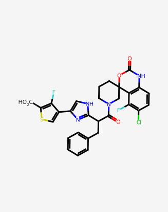 O=C1Nc2ccc(Cl)c(F)c2C2(CCCN(C(=O)C(Cc3ccccc3)c3nc(-c4csc(C(=O)O)c4F)c[nH]3)C2)O1